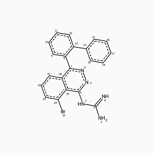 N=C(N)Nc1nnc(-c2ccccc2-c2ccccc2)c2cccc(Br)c12